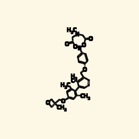 Cc1cc(OCC2(C)COC2)cc(C)c1-c1cccc(COc2ccc(B3OC(=O)CN(C)CC(=O)O3)cc2)c1C